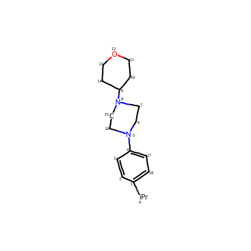 CC(C)c1ccc(N2CCN(C3CCOCC3)CC2)cc1